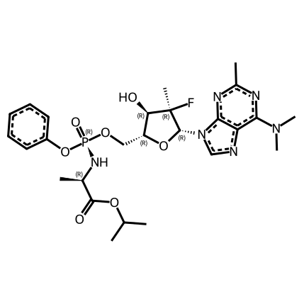 Cc1nc(N(C)C)c2ncn([C@@H]3O[C@H](CO[P@](=O)(N[C@H](C)C(=O)OC(C)C)Oc4ccccc4)[C@@H](O)[C@@]3(C)F)c2n1